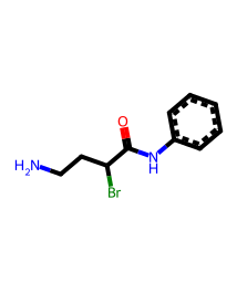 NCCC(Br)C(=O)Nc1ccccc1